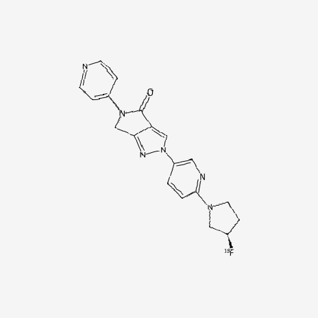 O=C1c2cn(-c3ccc(N4CC[C@@H]([18F])C4)nc3)nc2CN1c1ccncc1